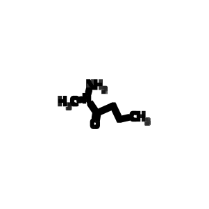 CCCC(=O)N(C)N